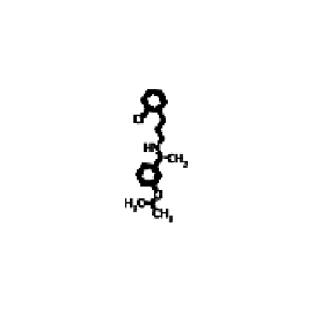 CC(C)Oc1cccc([C@@H](C)NCCCc2ccccc2Cl)c1